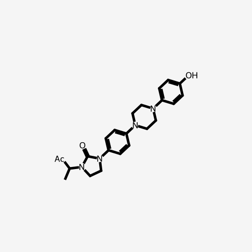 CC(=O)C(C)N1CCN(c2ccc(N3CCN(c4ccc(O)cc4)CC3)cc2)C1=O